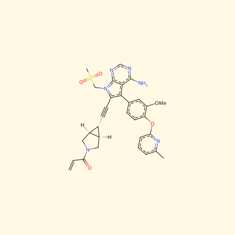 C=CC(=O)N1C[C@@H]2[C@@H](C#Cc3c(-c4ccc(Oc5cccc(C)n5)c(OC)c4)c4c(N)ncnc4n3CS(C)(=O)=O)[C@@H]2C1